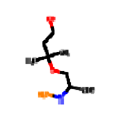 CC(C)(CCO)OCC(C=O)NP